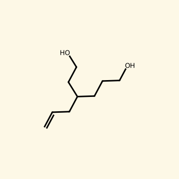 C=CCC(CCO)CCCO